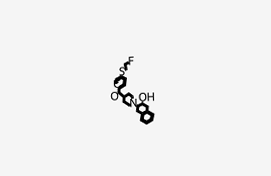 O=C(c1ccc(SCCF)cc1)C1CCN(C2Cc3ccccc3C[C@H]2O)CC1